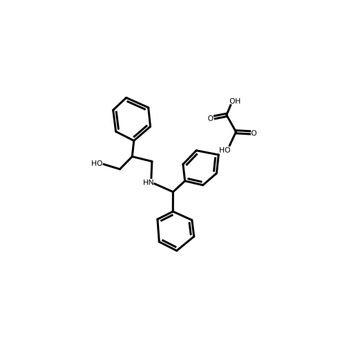 O=C(O)C(=O)O.OCC(CNC(c1ccccc1)c1ccccc1)c1ccccc1